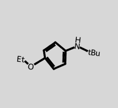 CCOc1ccc(NC(C)(C)C)cc1